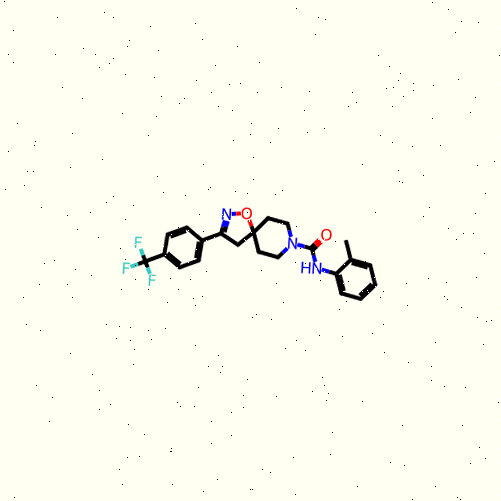 Cc1ccccc1NC(=O)N1CCC2(CC1)CC(c1ccc(C(F)(F)F)cc1)=NO2